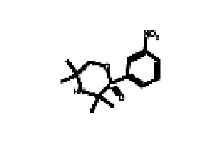 CC1(C)COP(=O)(c2cccc([N+](=O)[O-])c2)C(C)(C)N1